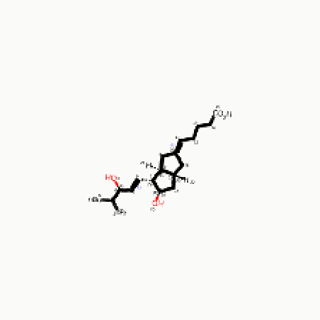 CCCCC(CCC)[C@@H](O)/C=C/[C@@H]1[C@H]2C/C(=C/CCCC(=O)O)C[C@@H]2C[C@H]1O